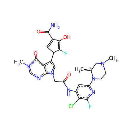 C[C@H]1CN(C)CCN1c1cc(NC(=O)Cn2cc(C3C=C(C(N)=O)C(O)=C3F)c3c(=O)n(C)cnc32)c(Cl)c(F)n1